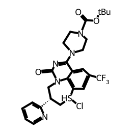 CC(C)(C)OC(=O)N1CCN(c2nc(=O)n3c4c(cc(C(F)(F)F)cc24)[SH](Cl)C[C@H](c2ccccn2)C3)CC1